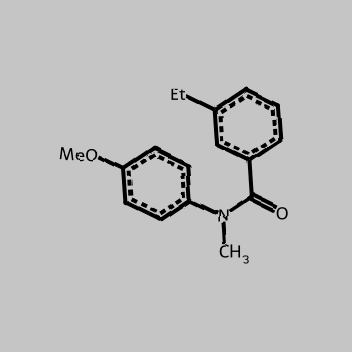 CCc1cccc(C(=O)N(C)c2ccc(OC)cc2)c1